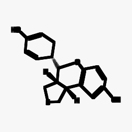 OC1=CC[C@H](C2Oc3ccc(O)cc3[C@@H]3CSC[C@H]23)C=C1